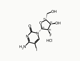 Cl.Nc1nc(=O)n([C@@H]2O[C@H](CO)[C@@H](O)[C@H]2F)cc1I